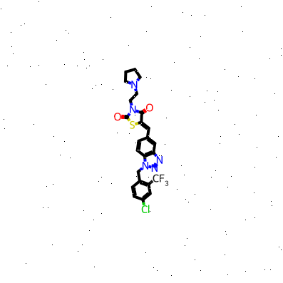 O=C1S/C(=C\c2ccc3c(c2)nnn3Cc2ccc(Cl)cc2C(F)(F)F)C(=O)N1CCN1CCCC1